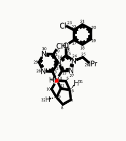 Cc1cc(N2C[C@H]3CC[C@@H](C2)C3Nc2nc(Oc3ccccc3Cl)n(CC(C)C)n2)ncn1